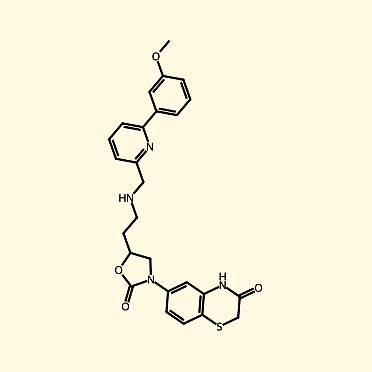 COc1cccc(-c2cccc(CNCCC3CN(c4ccc5c(c4)NC(=O)CS5)C(=O)O3)n2)c1